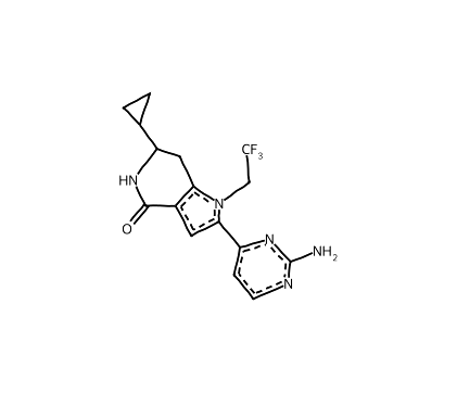 Nc1nccc(-c2cc3c(n2CC(F)(F)F)CC(C2CC2)NC3=O)n1